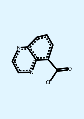 O=C(Cl)c1cccc2nccnc12